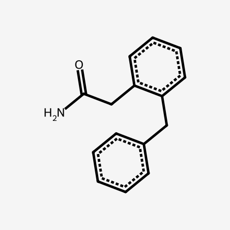 NC(=O)Cc1ccccc1Cc1ccccc1